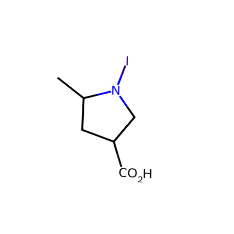 CC1CC(C(=O)O)CN1I